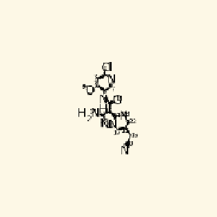 COc1cc(Cl)ncc1NC(=O)c1c(N)nn2cc(CC#N)cnc12